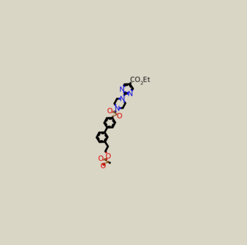 CCOC(=O)c1cnc(N2CCN(S(=O)(=O)c3ccc(-c4cccc(CCOS(C)(=O)=O)c4)cc3)CC2)nc1